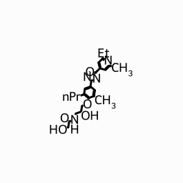 CCCc1cc(-c2noc(-c3cc(C)nc(CC)c3)n2)cc(C)c1OCC(O)CNC(=O)CO